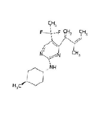 C=C(/C(C)=C\C)c1nc(N[C@H]2CC[C@H](C)CC2)ncc1C(C)(F)F